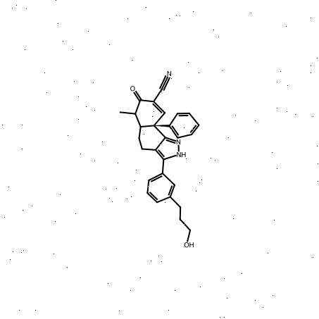 CC1C(=O)C(C#N)=C[C@]2(c3ccccc3)c3n[nH]c(-c4cccc(CCCO)c4)c3CCC12